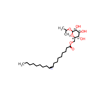 CCCCCCCC/C=C\CCCCCCCC(=O)OC[C@H]1OC(OC(C)C)[C@H](O)[C@@H](O)[C@@H]1O